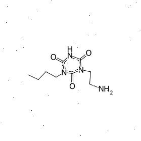 CCCCn1c(=O)[nH]c(=O)n(CCN)c1=O